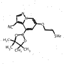 CSCCOc1cc(B2OC(C)(C)C(C)(C)O2)c2c(C#N)cnn2c1